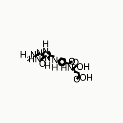 Nc1nc2c(c(=O)[nH]1)NC(CNc1ccc(C(=O)NC(CCC(=O)O)C(=O)O)cc1)=CN2